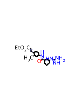 CCOC(=O)/C=C/c1ccc(NC(=O)c2cccc(NC(=N)N)c2)cc1C